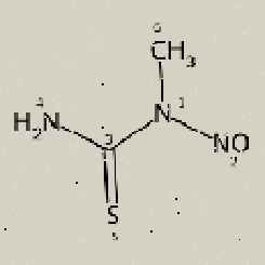 CN(N=O)C(N)=S